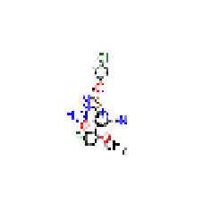 COc1ccc(F)cc1-c1cc(C#N)nc(-c2nnc(COc3ccc(Cl)cc3)s2)c1C(N)=O